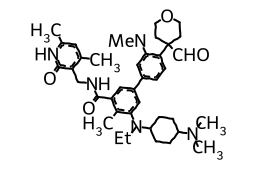 CCN(c1cc(-c2ccc(C3(C=O)CCOCC3)c(NC)c2)cc(C(=O)NCc2c(C)cc(C)[nH]c2=O)c1C)C1CCC(N(C)C)CC1